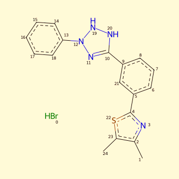 Br.Cc1nc(-c2cccc(C3=NN(c4ccccc4)NN3)c2)sc1C